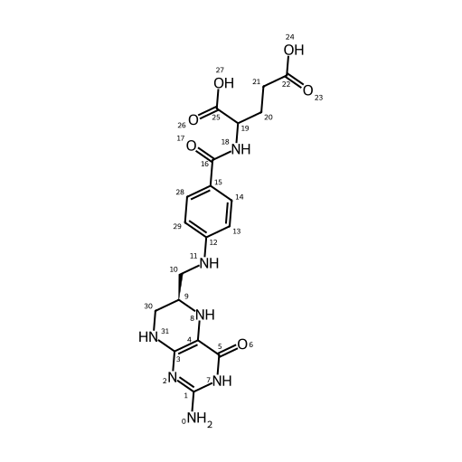 Nc1nc2c(c(=O)[nH]1)N[C@H](CNc1ccc(C(=O)NC(CCC(=O)O)C(=O)O)cc1)CN2